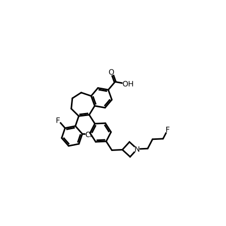 O=C(O)c1ccc2c(c1)CCCC(c1c(F)cccc1Cl)=C2c1ccc(CC2CN(CCCF)C2)cc1